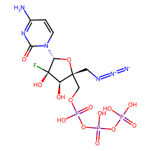 [N-]=[N+]=NC[C@]1(COP(=O)(O)OP(=O)(O)OP(=O)(O)O)O[C@@H](n2ccc(N)nc2=O)[C@@](O)(F)[C@@H]1O